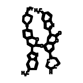 CCCN1CCN(c2ccc3cc(-c4cc5cc(C)ccn5n4)c(=O)oc3c2)CC1.Cc1ccn2nc(-c3cc4ccc(N5CCCNCC5)cc4oc3=O)cc2c1